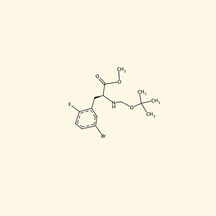 COC(=O)[C@H](Cc1cc(Br)ccc1F)NCOC(C)(C)C